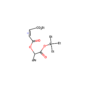 CCCC(OC(=O)/C=C\C(=O)OCC)C(=O)O[Si](CC)(CC)CC